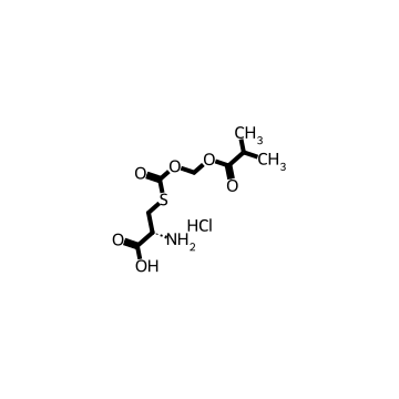 CC(C)C(=O)OCOC(=O)SC[C@H](N)C(=O)O.Cl